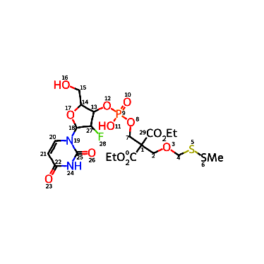 CCOC(=O)C(COCSSC)(COP(=O)(O)OC1C(CO)OC(n2ccc(=O)[nH]c2=O)C1F)C(=O)OCC